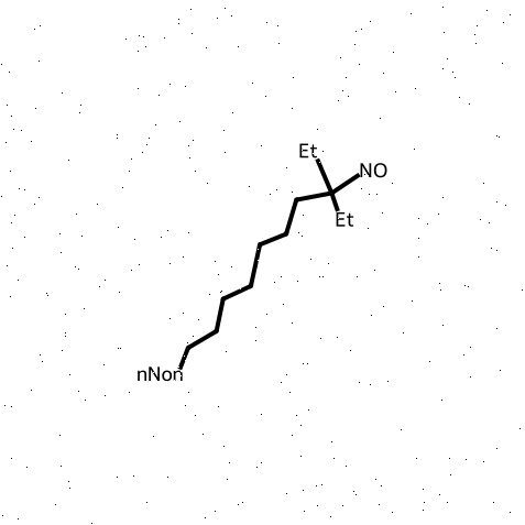 CCCCCCCCCCCCCCCCC(CC)(CC)N=O